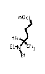 CCCCCCCCCCCC(C)(N(CC)CC)C(C)(C)C